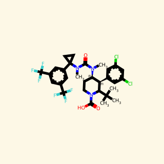 CN(C(=O)N(C)C1(c2cc(C(F)(F)F)cc(C(F)(F)F)c2)CC1)[C@@H]1CCN(C(=O)O)C(C(C)(C)C)[C@@H]1c1cc(Cl)cc(Cl)c1